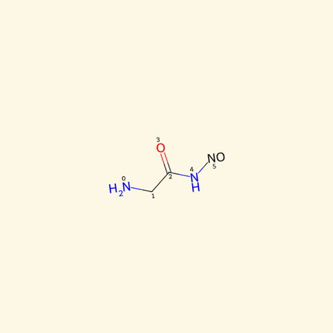 NCC(=O)NN=O